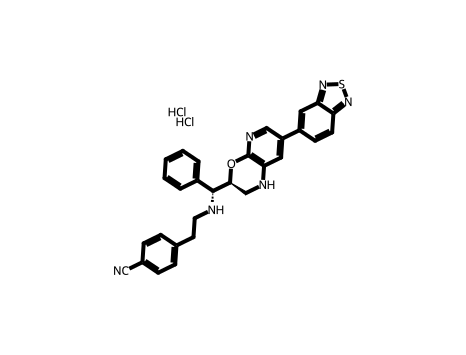 Cl.Cl.N#Cc1ccc(CCN[C@H](c2ccccc2)[C@@H]2CNc3cc(-c4ccc5nsnc5c4)cnc3O2)cc1